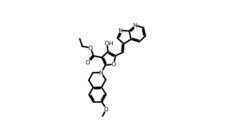 CCOC(=O)c1c(N2CCc3ccc(OC)cc3C2)oc(/C=C2\C=Nc3ncccc32)c1O